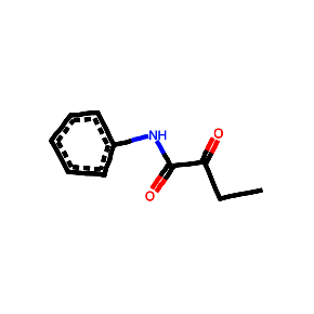 CCC(=O)C(=O)Nc1ccccc1